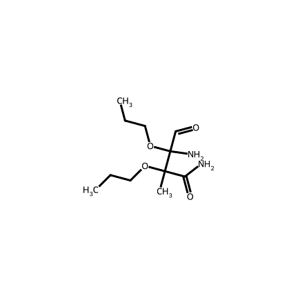 CCCOC(N)(C=O)C(C)(OCCC)C(N)=O